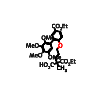 CCOC(=O)c1ccc(OCCCC(C)(C(=O)O)C(=O)OCC)c(-c2cc(OC)c(OC)c(OC)c2OC)c1